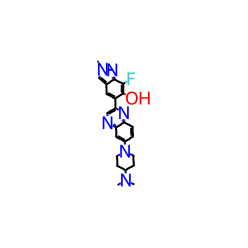 CN(C)C1CCN(c2ccc3nc(-c4cc5cn(C)nc5c(F)c4O)cnc3c2)CC1